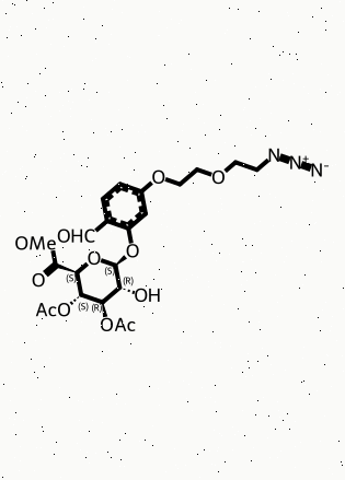 COC(=O)[C@H]1O[C@@H](Oc2cc(OCCOCCN=[N+]=[N-])ccc2C=O)[C@H](O)[C@@H](OC(C)=O)[C@@H]1OC(C)=O